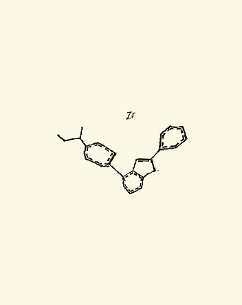 CCC(C)c1ccc(-c2cccc3c2C=C(c2ccccc2)[CH]3)cc1.[Zr]